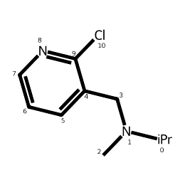 CC(C)N(C)Cc1cccnc1Cl